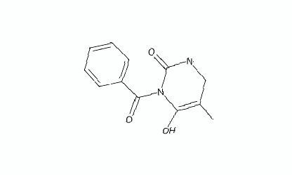 CC1=C(O)N(C(=O)c2ccccc2)C(=O)[N]C1